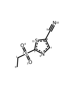 CCS(=O)(=O)c1ncc(C#N)s1